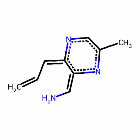 C=C/C=c1/ncc(C)n/c1=C/N